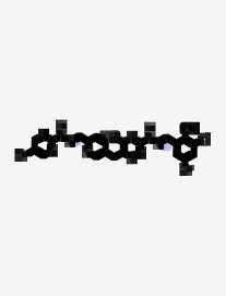 Oc1nc(N/N=C/c2cc(Br)cc(Cl)c2O)nnc1Cc1ccc(/C=N/Nc2ncc(Br)cn2)nc1